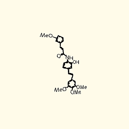 COc1cccc(/C=C/C(=O)Nc2ccc(/C=C/c3cc(OC)c(OC)c(OC)c3)cc2O)c1